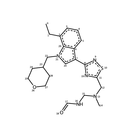 CCc1cccc2c(-c3nsc(CN(C)CNC=O)n3)cn(CC3CCOCC3)c12